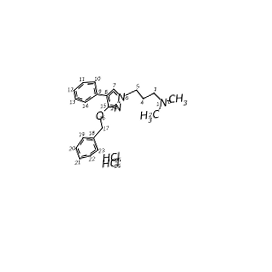 CN(C)CCCn1cc(-c2ccccc2)c(OCc2ccccc2)n1.Cl.Cl